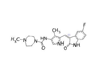 Cc1c(NC(=O)N2CCN(C)CC2)c[nH]c1/C=C1\C(=O)Nc2ccc(F)cc21